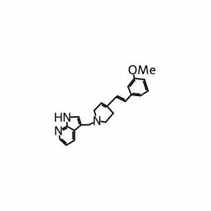 COc1cccc(C=CC2=CCN(Cc3c[nH]c4ncccc34)CC2)c1